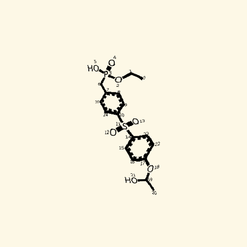 CCOP(=O)(O)Cc1ccc(S(=O)(=O)c2ccc(OC(C)O)cc2)cc1